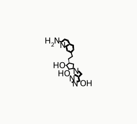 Nc1ccc2ccc(CC[C@H]3C[C@@H](n4ccc5c(O)ncnc54)[C@H](O)[C@@H]3O)cc2n1